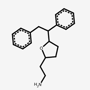 NCCC1CCC(C(Cc2ccccc2)c2ccccc2)O1